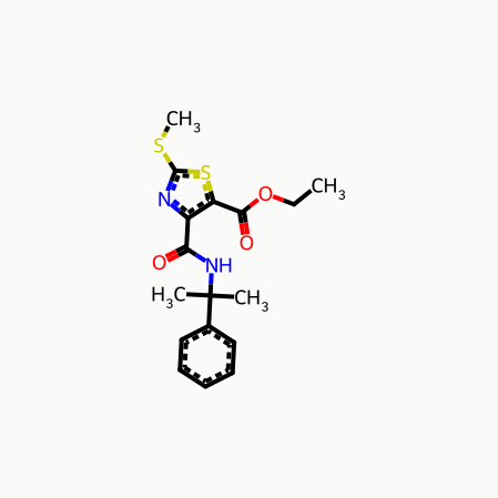 CCOC(=O)c1sc(SC)nc1C(=O)NC(C)(C)c1ccccc1